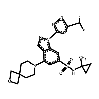 CC1(NS(=O)(=O)c2cc(N3CCC4(CC3)COC4)c3cnn(-c4nnc(C(F)F)s4)c3c2)CC1